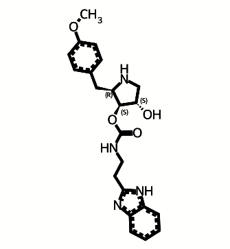 COc1ccc(C[C@H]2NC[C@H](O)[C@H]2OC(=O)NCCc2nc3ccccc3[nH]2)cc1